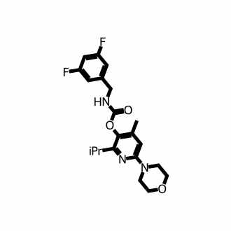 Cc1cc(N2CCOCC2)nc(C(C)C)c1OC(=O)NCc1cc(F)cc(F)c1